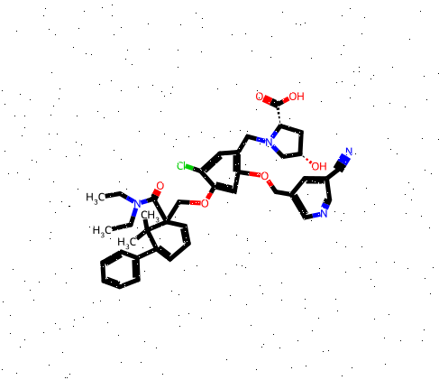 CCN(CC)C(=O)C1(COc2cc(OCc3cncc(C#N)c3)c(CN3C[C@@H](O)C[C@H]3C(=O)O)cc2Cl)C=CC=C(c2ccccc2)C1(C)C